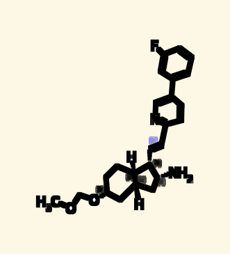 COCO[C@@H]1CC[C@@H]2[C@@H](C1)C[C@@H](N)[C@H]2/C=C/c1ccc(-c2cccc(F)c2)cn1